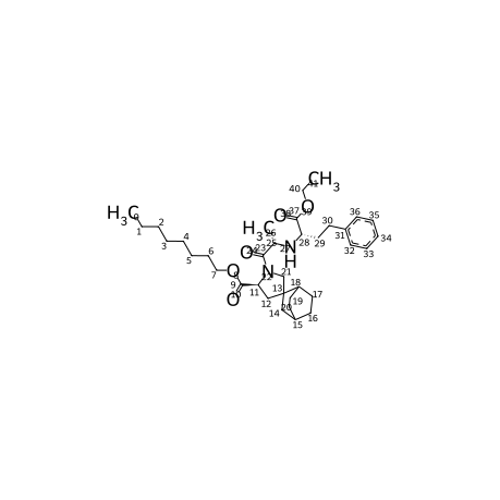 CCCCCCCCOC(=O)[C@@H]1CC2(CC3CCC2CC3)CN1C(=O)[C@H](C)N[C@@H](CCc1ccccc1)C(=O)OCC